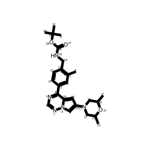 Cc1cc(-c2ncnn3cc(N4CC(C)OC(C)C4)cc23)ccc1CNC(=O)OC(C)(C)C